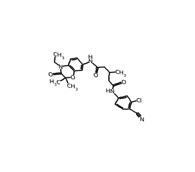 CCN1C(=O)C(C)(C)Oc2cc(NC(=O)CC(C)CC(=O)Nc3ccc(C#N)c(Cl)c3)ccc21